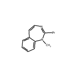 CC(C)C1=NC=Cc2ccccc2N1C